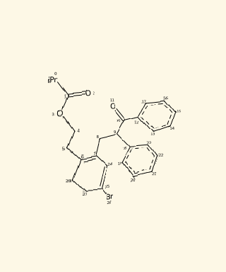 CC(C)C(=O)OCCC1=C(CC(C(=O)c2ccccc2)c2ccccc2)C=C(Br)[CH]C1